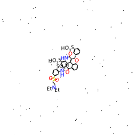 CCN(CC)CCS(=O)(=O)c1ccc(S(=O)(=O)O)c(Nc2cc(S(=O)(=O)O)c3[nH]c(=O)c(C(=O)c4cccc(S(=O)(=O)O)c4)c4c3c2C(=O)c2ccccc2-4)c1